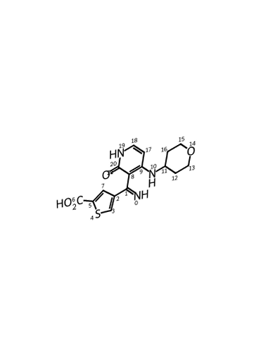 N=C(c1csc(C(=O)O)c1)c1c(NC2CCOCC2)cc[nH]c1=O